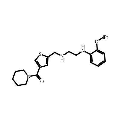 CC(C)Oc1ccccc1NCCNCc1cc(C(=O)N2CCCCC2)cs1